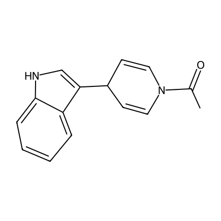 CC(=O)N1C=CC(c2c[nH]c3ccccc23)C=C1